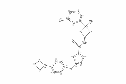 O=C(NC1CC(O)(c2cccc(Cl)c2)C1)c1cnn(Cc2cnc(N3CCC3)nc2)c1